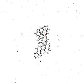 CC1(C)c2ccccc2-c2ccc(N(c3cccc4ccccc34)c3ccc4c5c(cccc35)C3(c5ccccc5-c5cccc6cccc3c56)c3ccccc3-4)cc21